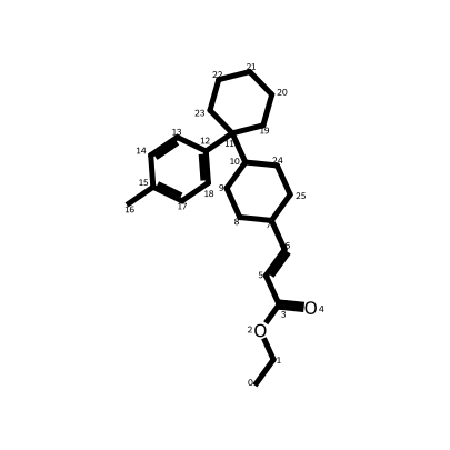 CCOC(=O)C=CC1CCC(C2(c3ccc(C)cc3)CCCCC2)CC1